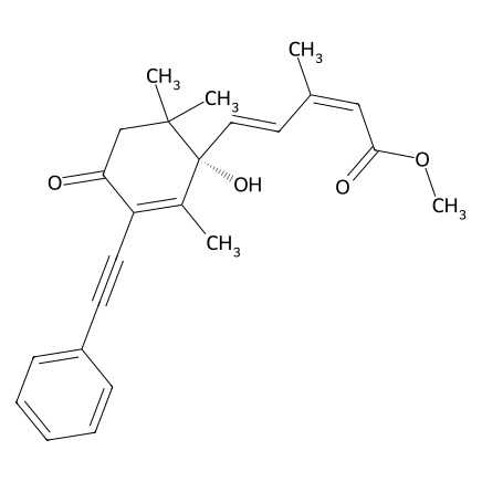 COC(=O)/C=C(C)\C=C\[C@@]1(O)C(C)=C(C#Cc2ccccc2)C(=O)CC1(C)C